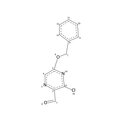 O=Cc1ncc(OCc2ccccc2)nc1Cl